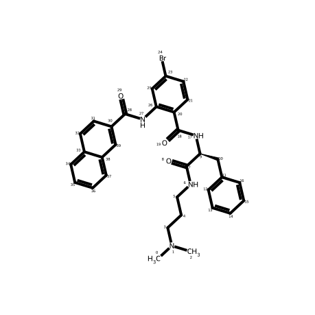 CN(C)CCCNC(=O)[C@H](Cc1ccccc1)NC(=O)c1ccc(Br)cc1NC(=O)c1ccc2ccccc2c1